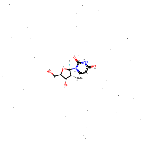 CO[C@@H]1[C@H](O)[C@@H](CO)O[C@@]1(F)n1ccc(=O)[nH]c1=O